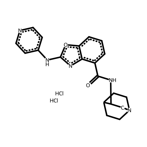 Cl.Cl.O=C(NC1CN2CCC1CC2)c1cccc2oc(Nc3ccncc3)nc12